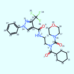 O=C(NCCN(C(=O)C1CCCCC1)C(=O)N1CCOCC1)c1cn(-c2ccccc2)nc1C(F)(F)F